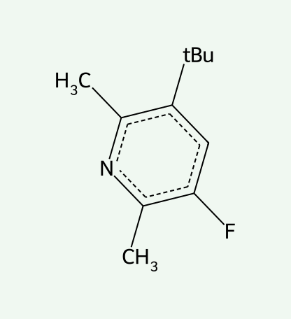 Cc1nc(C)c(C(C)(C)C)cc1F